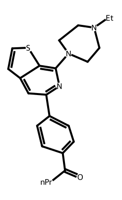 CCCC(=O)c1ccc(-c2cc3ccsc3c(N3CCN(CC)CC3)n2)cc1